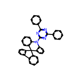 c1ccc(-c2nc(-c3ccccc3)nc(N3c4ccccc4C4(c5ccccc5-c5ccccc54)c4ccccc43)n2)cc1